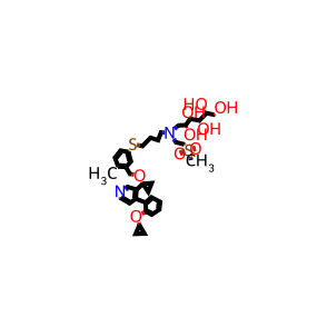 Cc1ccc(SCCCCN(CCS(C)(=O)=O)C[C@H](O)[C@@H](O)[C@H](O)[C@H](O)CO)cc1COC1(c2cnccc2-c2ccccc2OC2CC2)CC1